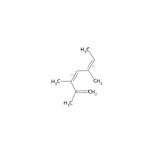 C=C(C)/C(C)=C\C(C)=C/C